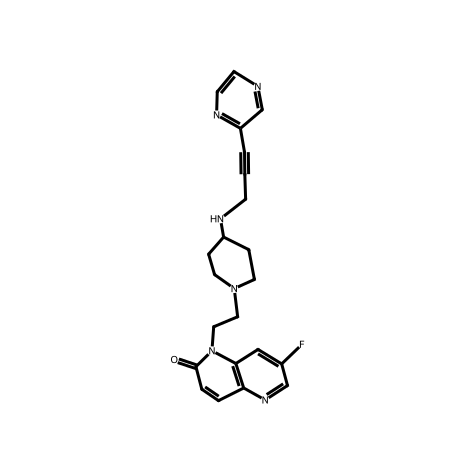 O=c1ccc2ncc(F)cc2n1CCN1CCC(NCC#Cc2cnccn2)CC1